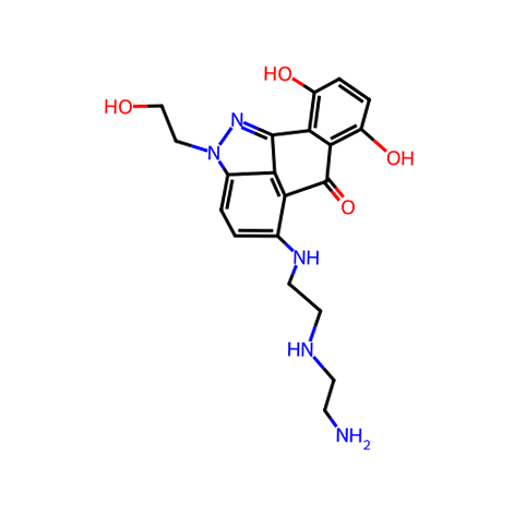 NCCNCCNc1ccc2c3c(nn2CCO)-c2c(O)ccc(O)c2C(=O)c13